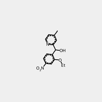 CCOc1cc([N+](=O)[O-])ccc1C(O)c1cc(C)ccn1